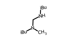 CCC(C)NCN(C)C(C)CC